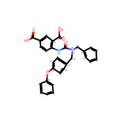 O=C(O)c1ccc(NC(=O)N(Cc2ccccc2)Cc2ccc(Oc3ccccc3)cc2)c(C(=O)O)c1